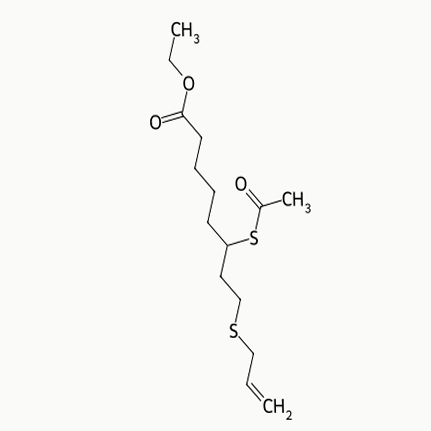 C=CCSCCC(CCCCC(=O)OCC)SC(C)=O